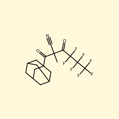 CC(C#N)(C(=O)C12CC3CC(CC(C3)C1)C2)C(=O)C(F)(F)C(F)(F)C(F)(F)F